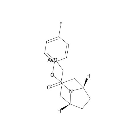 CC(=O)OCC(=O)N1[C@@H]2CC[C@H]1CC(Oc1ccc(F)cc1)C2